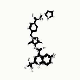 Cc1nn(CC2=CCC(C(=O)NC[C@@H]3CCCO3)C=C2)c(C)c1NC(=O)c1cc(C(F)(F)F)nc2ccc(Br)cc12